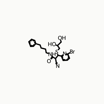 N#CC(C(=O)NCCCCc1ccccc1)C(SCC(O)CO)c1cccc(Br)n1